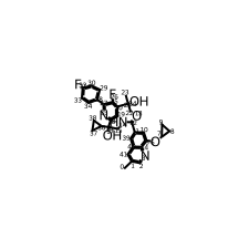 Cc1cnc2c(OC3CC3)cc(C(=O)NCC(O)(c3cc(C(C)(C)O)c(F)c(-c4ccc(F)cc4)n3)C3CC3)cc2c1